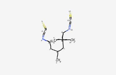 CC(CCN=C=S)CC(C)(C)CN=C=S